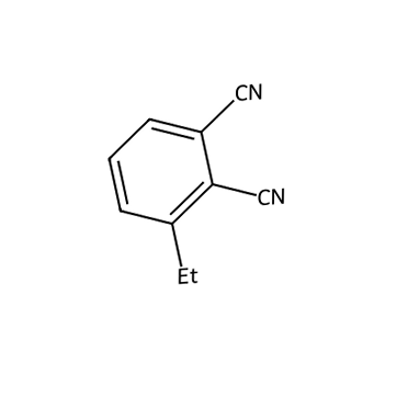 CCc1cccc(C#N)c1C#N